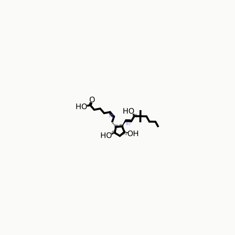 CCCCC(C)(C)[C@H](O)/C=C/[C@@H]1[C@@H](C/C=C\CCCC(=O)O)[C@H](O)C[C@H]1O